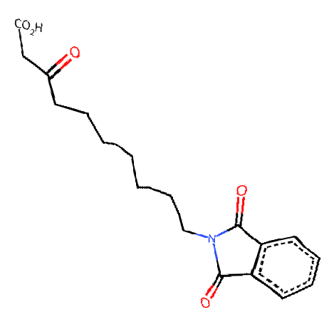 O=C(O)CC(=O)CCCCCCCN1C(=O)c2ccccc2C1=O